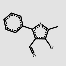 Cc1sc(-c2ccccc2)c(C=O)c1Br